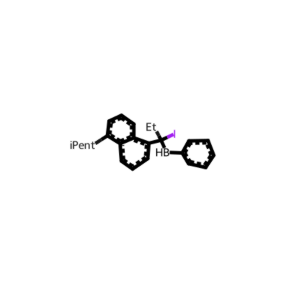 CCCC(C)c1cccc2c(C(I)(Bc3ccccc3)CC)cccc12